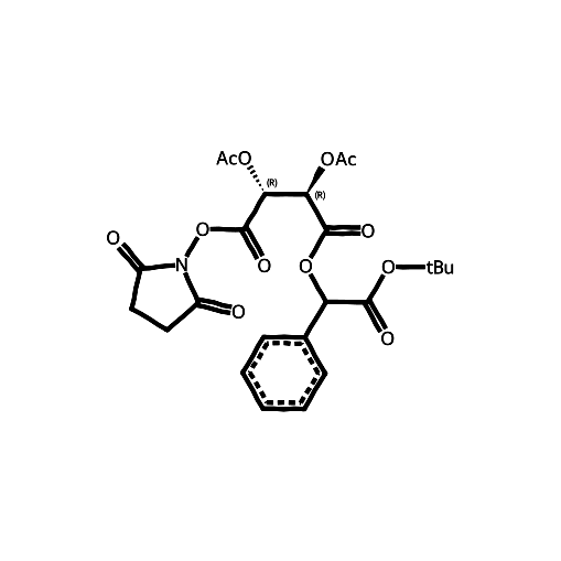 CC(=O)O[C@@H](C(=O)OC(C(=O)OC(C)(C)C)c1ccccc1)[C@@H](OC(C)=O)C(=O)ON1C(=O)CCC1=O